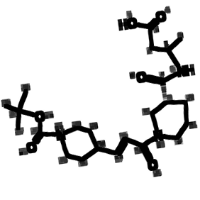 CC(CC(=O)O)NC(=O)[C@@H]1CCCN(C(=O)/C=C/C2CCN(C(=O)OC(C)(C)C)CC2)C1